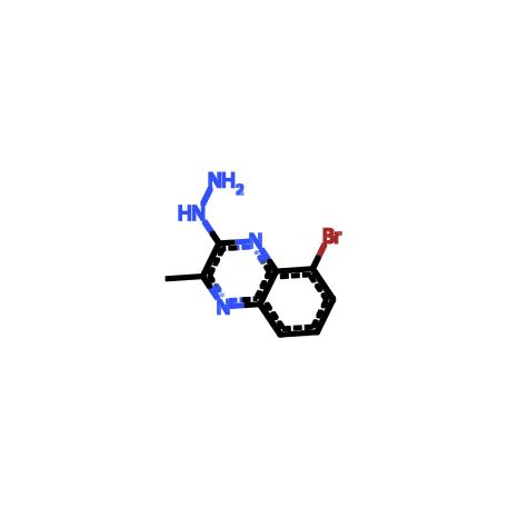 Cc1nc2cccc(Br)c2nc1NN